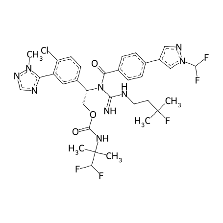 Cn1ncnc1-c1cc([C@@H](COC(=O)NC(C)(C)C(F)F)N(C(=N)NCCC(C)(C)F)C(=O)c2ccc(-c3cnn(C(F)F)c3)cc2)ccc1Cl